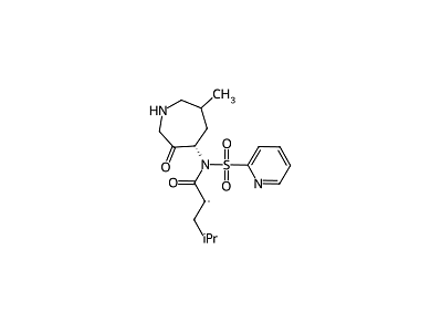 CC(C)C[CH]C(=O)N([C@H]1CC(C)CNCC1=O)S(=O)(=O)c1ccccn1